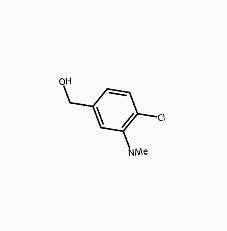 CNc1cc(CO)ccc1Cl